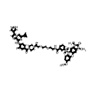 CCCOc1cccc(Oc2cc3c(cc2NS(=O)(=O)c2cccc(C(=O)NCCOCCOCC(=O)N4CCN(C(=O)c5ccc(Nc6nc(C7CC7)cn7c(-c8cn[nH]c8)cnc67)c(F)c5)CC4)c2)n(C)c(=O)n3C)c1